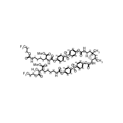 COC(=O)C(CCCCNC(=O)OCCC(F)(F)F)NC(=O)Oc1ccc(S(=O)(=O)c2ccc(OC(=O)NCCC(C)(C)CC(C)CNC(=O)Oc3ccc(S(=O)(=O)c4ccc(OC(=O)NCCCCC(C(=O)OC)N(C)C(=O)OCCC(F)(F)F)cc4)cc3)cc2)cc1